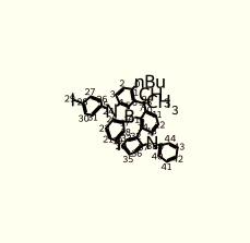 CCCCc1ccc2c3c1C(C)(C)c1ccc4c(c1B3c1cc(I)ccc1N2c1ccc(I)cc1)c1ccccc1n4-c1ccccc1